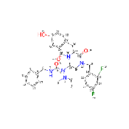 CCN(C)N(C(=O)NCc1ccccc1)C1CN(Cc2ccc(F)cc2F)C(=O)C(Cc2ccc(O)cc2)N1C=O